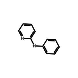 c1ccc([N]c2ccccn2)cc1